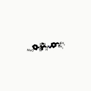 COc1cccc(-n2ncc3c(N/N=C/c4ccc(CN(C)C)cc4)ncnc32)c1